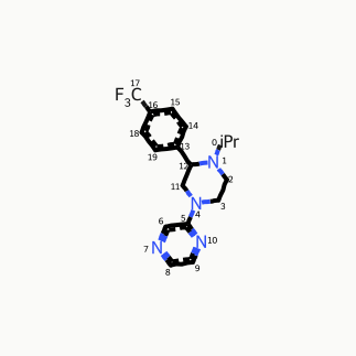 CC(C)N1CCN(c2cnccn2)CC1c1ccc(C(F)(F)F)cc1